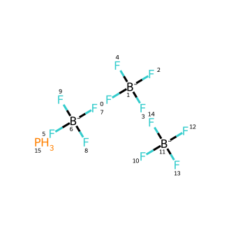 F[B-](F)(F)F.F[B-](F)(F)F.F[B-](F)(F)F.P